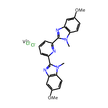 COc1ccc2c(c1)nc(-c1cccc(-c3nc4cc(OC)ccc4n3C)n1)n2C.[Cl-].[Cl-].[V+2]